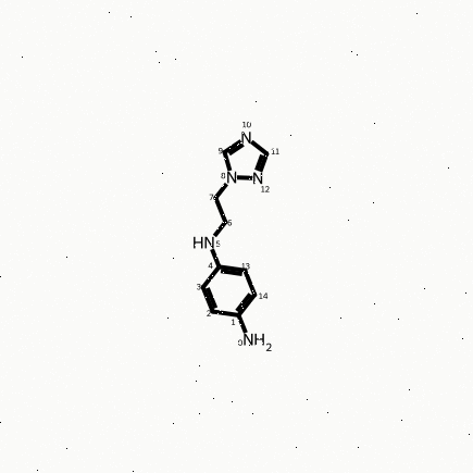 Nc1ccc(NCCn2cncn2)cc1